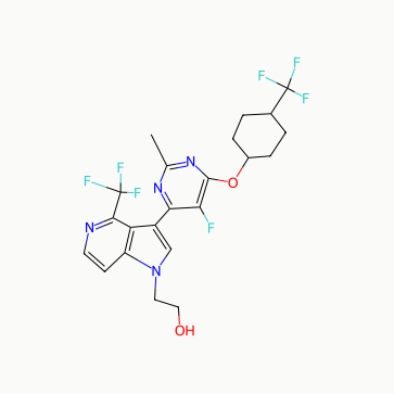 Cc1nc(OC2CCC(C(F)(F)F)CC2)c(F)c(-c2cn(CCO)c3ccnc(C(F)(F)F)c23)n1